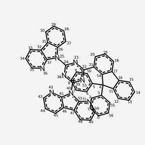 c1ccc(C2(c3ccccc3)c3ccccc3-c3cccc(-c4nc(-n5c6ccccc6c6cccnc65)nc(-n5c6ncccc6c6cccnc65)n4)c32)cc1